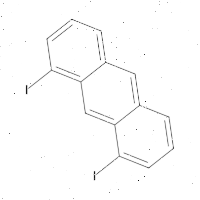 Ic1cccc2cc3cccc(I)c3cc12